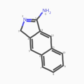 NC1=NCc2cc3ccccc3cc21